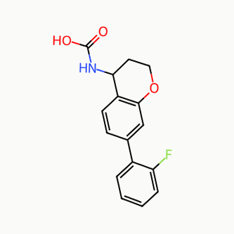 O=C(O)NC1CCOc2cc(-c3ccccc3F)ccc21